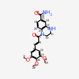 COc1cc(C=CC(=O)N2CCNc3cc(C(N)=O)ccc32)cc(OC)c1OC